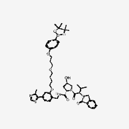 Cc1ncsc1-c1ccc(CNC(=O)[C@@H]2C[C@@H](O)CN2C(=O)C(C(C)C)N2Cc3ccccc3C2=O)c(OCCCCOCCCOc2ccc(B3OC(C)(C)C(C)(C)O3)cc2)c1